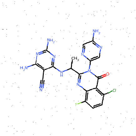 CC(Nc1nc(N)nc(N)c1C#N)c1nc2c(F)ccc(Cl)c2c(=O)n1-c1cnc(N)cn1